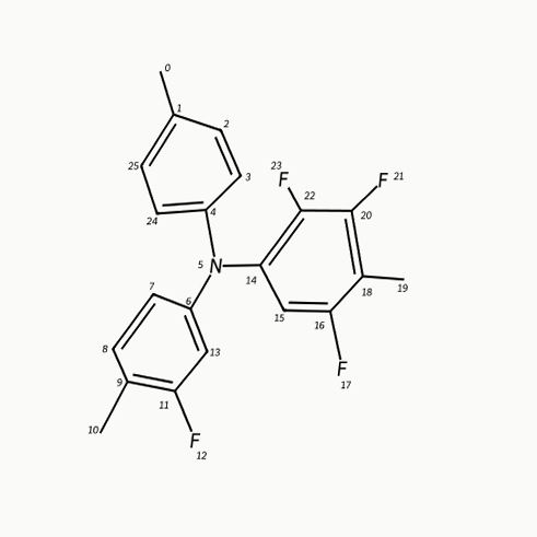 Cc1ccc(N(c2ccc(C)c(F)c2)c2cc(F)c(C)c(F)c2F)cc1